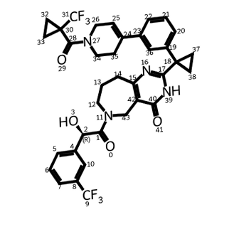 O=C([C@H](O)c1cccc(C(F)(F)F)c1)N1CCCc2nc(C3(c4cccc(C5=CCN(C(=O)C6(C(F)(F)F)CC6)CC5)c4)CC3)[nH]c(=O)c2C1